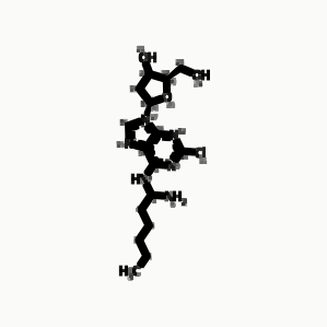 CCCCCC(N)Nc1nc(Cl)nc2c1ncn2[C@H]1CC(O)[C@@H](CO)O1